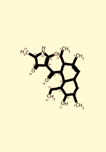 CCC1C(C)=CC2CC(C)C(O)C(CC)C2C1C(=O)C1=C(O)NC(C)C1=O